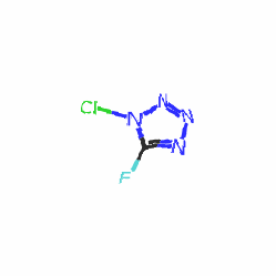 Fc1nnnn1Cl